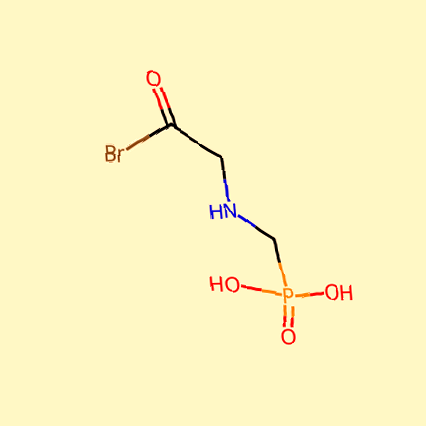 O=C(Br)CNCP(=O)(O)O